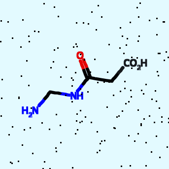 NCNC(=O)CC(=O)O